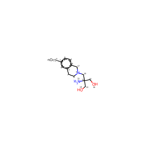 CCCCCCCCc1ccc2c(c1)CCN(CC(N)(CO)CO)C2